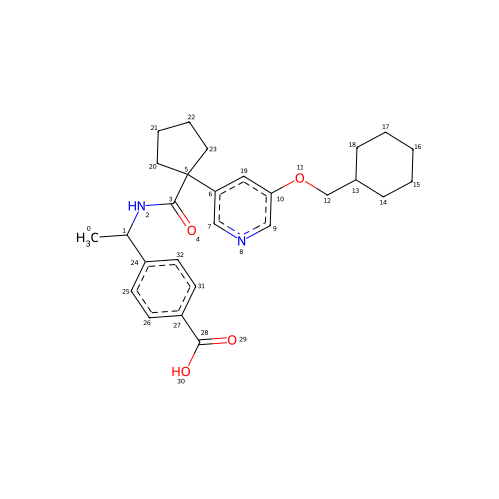 CC(NC(=O)C1(c2cncc(OCC3CCCCC3)c2)CCCC1)c1ccc(C(=O)O)cc1